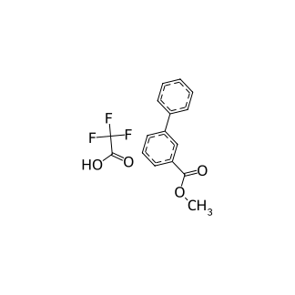 COC(=O)c1cccc(-c2ccccc2)c1.O=C(O)C(F)(F)F